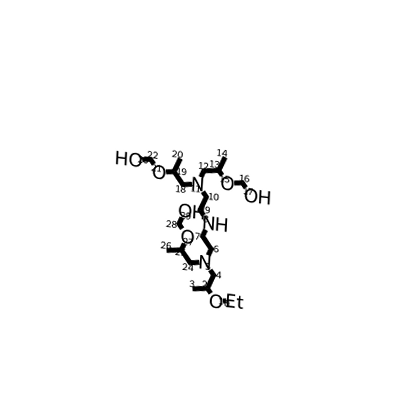 CCOC(C)CN(CCNCCN(CC(C)OCO)CC(C)OCO)CC(C)OCO